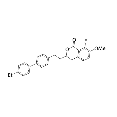 CCc1ccc(-c2ccc(CCC3Cc4ccc(OC)c(F)c4C(=O)O3)cc2)cc1